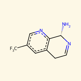 N[C@@H]1N=CCc2cc(C(F)(F)F)cnc21